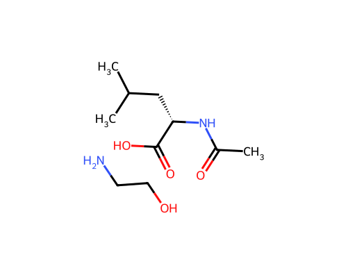 CC(=O)N[C@@H](CC(C)C)C(=O)O.NCCO